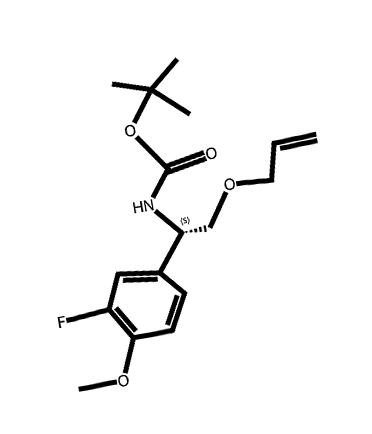 C=CCOC[C@@H](NC(=O)OC(C)(C)C)c1ccc(OC)c(F)c1